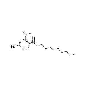 CCCCCCCCCCNc1ccc(Br)cc1C(C)C